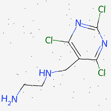 NCCNCc1c(Cl)nc(Cl)nc1Cl